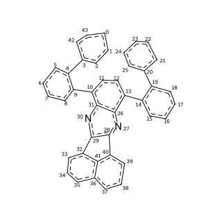 c1ccc(-c2ccccc2-c2ccc(-c3ccccc3-c3ccccc3)c3nc4c(nc23)-c2cccc3cccc-4c23)cc1